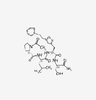 CC(=O)N1CCC[C@H]1C(=O)N[C@@H](CC(C)C)C(=O)N[C@@H](Cc1cn(CCc2ccccc2)cn1)C(=O)N[C@@H](CO)C(N)=O